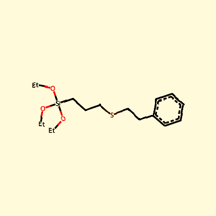 CCO[Si](CCCSCCc1ccccc1)(OCC)OCC